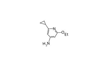 CCOc1cc(N)cc(C2CC2)n1